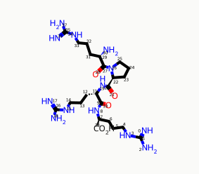 N=C(N)NCCC[C@H](NC(=O)[C@H](CCCNC(=N)N)NC(=O)[C@@H]1CCCN1C(=O)[C@@H](N)CCCNC(=N)N)C(=O)O